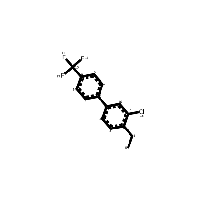 CCc1ccc(-c2ccc(C(F)(F)F)cc2)cc1Cl